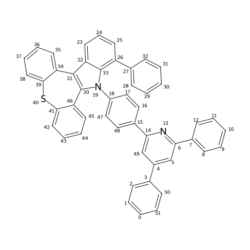 c1ccc(-c2cc(-c3ccccc3)nc(-c3ccc(-n4c5c(c6cccc(-c7ccccc7)c64)-c4ccccc4Sc4ccccc4-5)cc3)c2)cc1